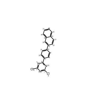 Clc1nc(Cl)nc(-c2ccc(-c3ccc4ccccc4c3)cc2)n1